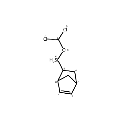 ClC(Cl)O[SiH2]C1CC2C=CC1C2